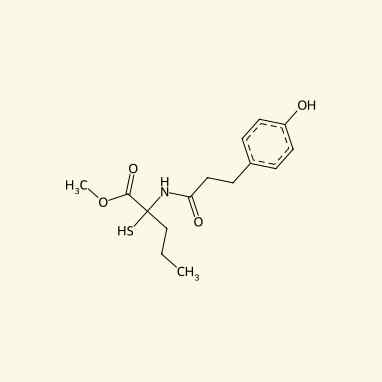 CCCC(S)(NC(=O)CCc1ccc(O)cc1)C(=O)OC